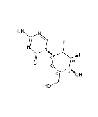 Nc1ncn([C@@H]2O[C@H](CO)[C@H](O)[C@H](F)C2F)c(=O)n1